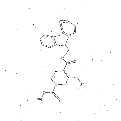 CC(C)(C)OC(=O)N1CCN(C(=O)OCC2c3ccccc3-c3ccccc32)[C@H](CO)C1